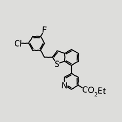 CCOC(=O)c1cncc(-c2cccc3cc(Cc4cc(F)cc(Cl)c4)sc23)c1